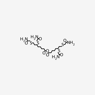 NC(=O)CSCCC(CCCCC(=O)OC(=O)CCCCC(CCSCC(N)=O)SCC(N)=O)SCC(N)=O